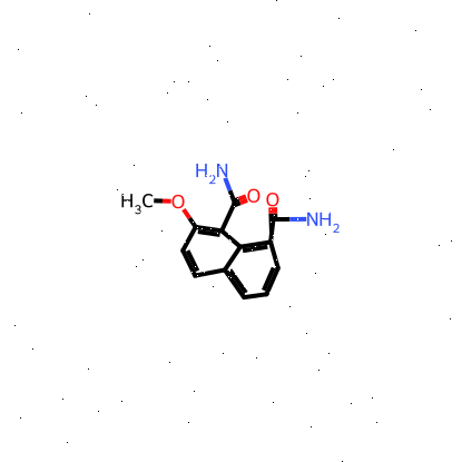 COc1ccc2cccc(C(N)=O)c2c1C(N)=O